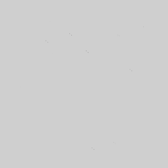 COc1cc2nc(C)nc(NCc3cc(N)cc(C(F)(F)F)n3)c2cc1OCCOc1cncnc1